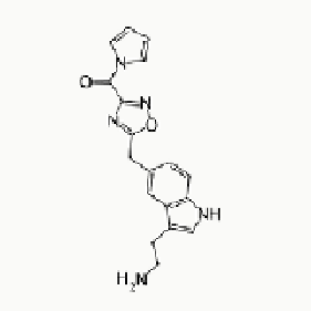 NCCc1c[nH]c2ccc(Cc3nc(C(=O)n4cccc4)no3)cc12